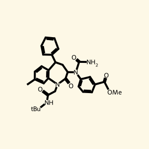 COC(=O)c1cccc(N(C(N)=O)C2CC(c3ccccc3)c3ccc(C)cc3N(CC(=O)NC(C)(C)C)C2=O)c1